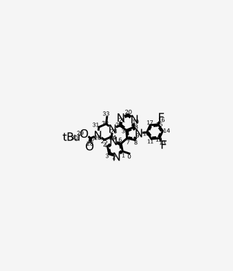 Cc1nccnc1-c1cn(-c2cc(F)cc(F)c2)c2ncnc(N3CCN(C(=O)OC(C)(C)C)CC3C)c12